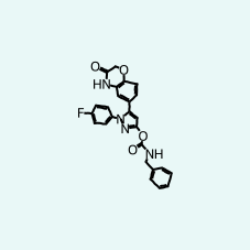 O=C1COc2ccc(-c3cc(OC(=O)NCc4ccccc4)nn3-c3ccc(F)cc3)cc2N1